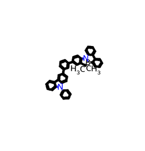 CC1(C)B2c3ccccc3-c3ccccc3N2c2ccc(-c3cccc(-c4ccc5c(c4)c4ccccc4n5-c4ccccc4)c3)cc21